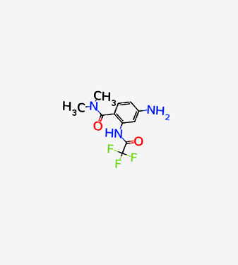 CN(C)C(=O)c1ccc(N)cc1NC(=O)C(F)(F)F